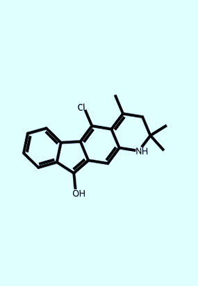 CC1=c2c(cc3c(c2Cl)-c2ccccc2C=3O)NC(C)(C)C1